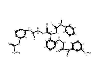 COC(=O)Cc1cccc(NC(=O)NCC(=O)N(CC(=O)N(C)c2ccccc2)c2ccccc2OCC(=O)N(C)c2cccc(OC)c2)c1